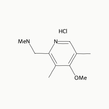 CNCc1ncc(C)c(OC)c1C.Cl